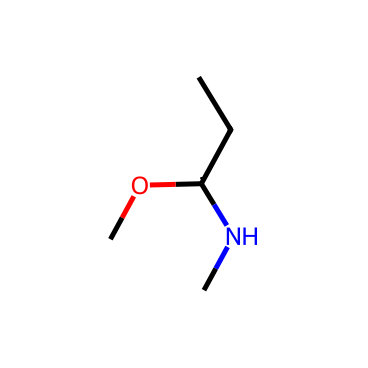 CC[C](NC)OC